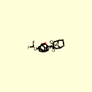 O=S(=O)(c1ccc(OC(F)F)cc1)N1C2CCC1CC(N1CC3CCC(C3)C1)C2